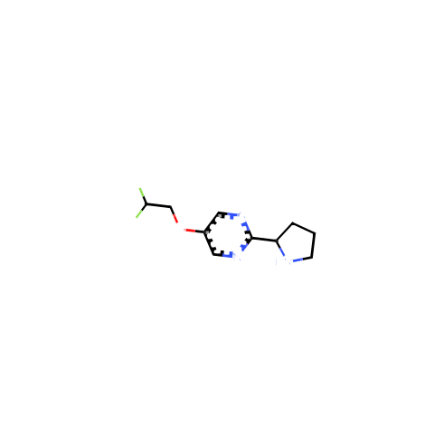 FC(F)COc1cnc(C2CCCN2)nc1